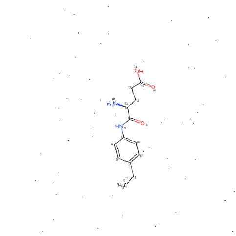 CCc1ccc(NC(=O)[C@@H](N)CCC(=O)O)cc1